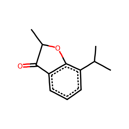 CC1Oc2c(cccc2C(C)C)C1=O